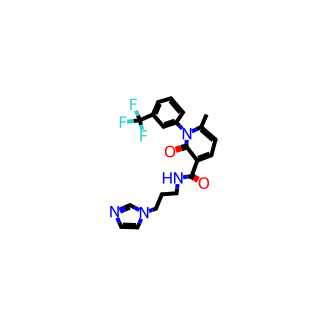 Cc1ccc(C(=O)NCCCn2ccnc2)c(=O)n1-c1cccc(C(F)(F)F)c1